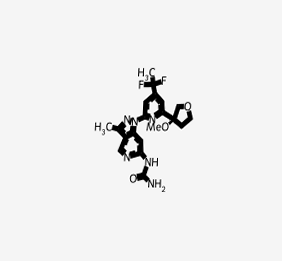 CO[C@]1(c2cc(C(C)(F)F)cc(-n3nc(C)c4cnc(NC(N)=O)cc43)n2)CCOC1